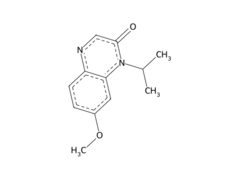 COc1ccc2ncc(=O)n(C(C)C)c2c1